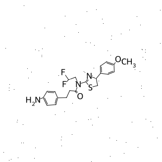 COc1ccc(C2CSC(N(CC(F)F)C(=O)CCc3ccc(N)cc3)=N2)cc1